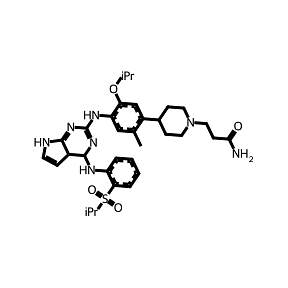 Cc1cc(NC2=NC(Nc3ccccc3S(=O)(=O)C(C)C)C3C=CNC3=N2)c(OC(C)C)cc1C1CCN(CCC(N)=O)CC1